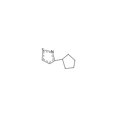 c1cc(C2CCCC2)ns1